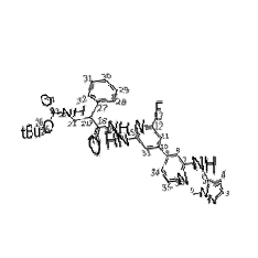 Cn1nccc1Nc1cc(-c2cc(F)nc(NNC(=O)C(CNC(=O)OC(C)(C)C)c3ccccc3)c2)ccn1